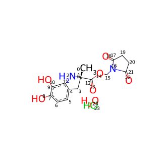 C[C@](N)(Cc1ccc(O)c(O)c1)C(=O)OCN1C(=O)CCC1=O.Cl.O